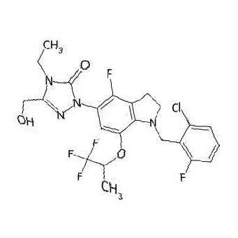 CCn1c(CO)nn(-c2cc(OC(C)C(F)(F)F)c3c(c2F)CCN3Cc2c(F)cccc2Cl)c1=O